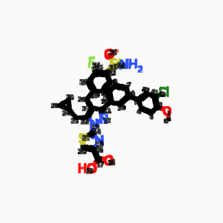 COc1ccc(-c2cccc(-c3nn(-c4nc(C(=O)O)cs4)c(CC4CC4)c3Cc3ccc([S+](N)[O-])c(F)c3)c2)cc1Cl